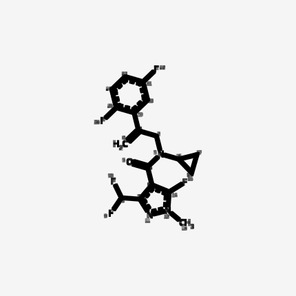 C=C(CN(C(=O)c1c(C(F)F)nn(C)c1F)C1CC1)c1cc(F)ccc1F